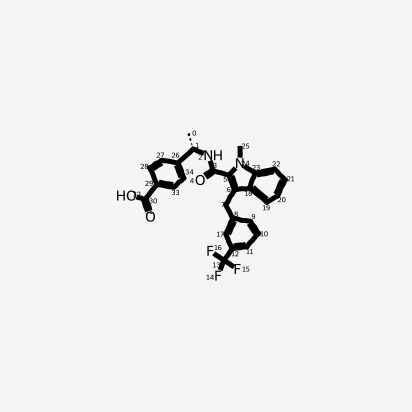 C[C@H](NC(=O)c1c(Cc2cccc(C(F)(F)F)c2)c2ccccc2n1C)c1ccc(C(=O)O)cc1